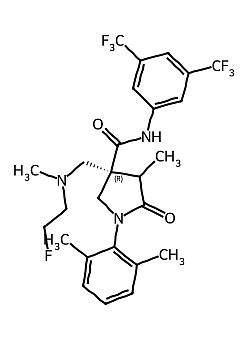 Cc1cccc(C)c1N1C[C@@](CN(C)CCF)(C(=O)Nc2cc(C(F)(F)F)cc(C(F)(F)F)c2)C(C)C1=O